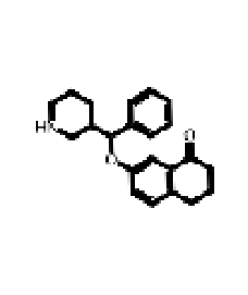 O=C1CCCc2ccc(OC(c3ccccc3)C3CCCNC3)cc21